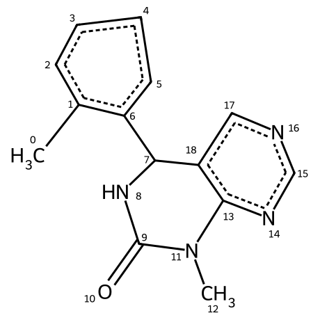 Cc1ccccc1C1NC(=O)N(C)c2ncncc21